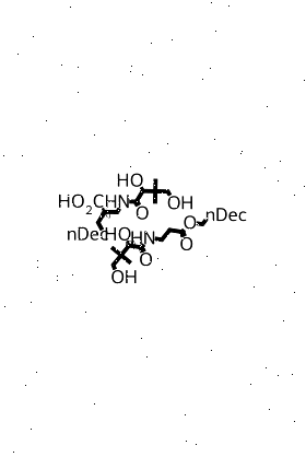 CCCCCCCCCCCOC(=O)CCNC(=O)[C@H](O)C(C)(C)CO.CCCCCCCCCCC[C@H](CNC(=O)C(O)C(C)(C)CO)C(=O)O